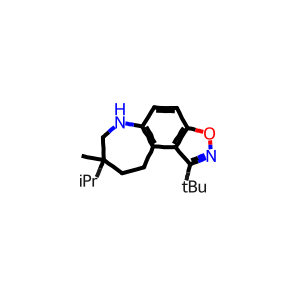 CC(C)C1(C)CCc2c(ccc3onc(C(C)(C)C)c23)NC1